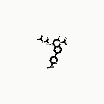 CNc1ccc(-c2ccc3c(c2)[C@@H](NC(=O)OC(C)C)C[C@@H](C)N3C(C)=O)cn1